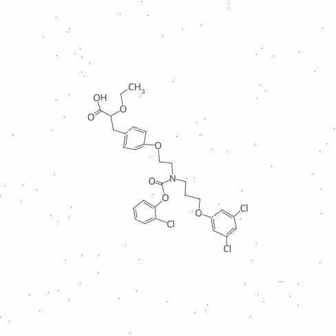 CCOC(Cc1ccc(OCCN(CCCOc2cc(Cl)cc(Cl)c2)C(=O)Oc2ccccc2Cl)cc1)C(=O)O